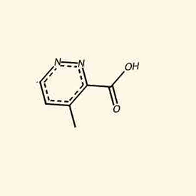 Cc1c[c]nnc1C(=O)O